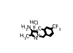 Cc1nn(Cc2ccc(C(F)(F)F)cc2C(F)(F)F)cc1N.Cl